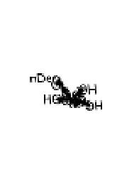 CCCCCCCCCCCC(=O)CCCOCC(OCCO)C1OCC(OCCO)C1OCCO